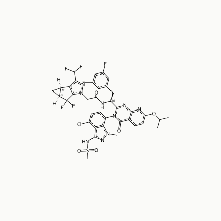 CC(C)Oc1ccc2c(=O)n(-c3ccc(Cl)c4c(NS(C)(=O)=O)nn(C)c34)c([C@H](Cc3cc(F)cc(F)c3)NC(=O)Cn3nc(C(F)F)c4c3C(F)(F)[C@H]3C[C@@H]43)nc2n1